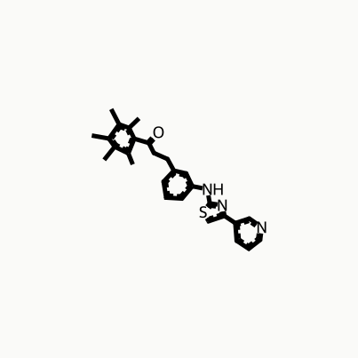 Cc1c(C)c(C)c(C(=O)CCc2cccc(Nc3nc(-c4cccnc4)cs3)c2)c(C)c1C